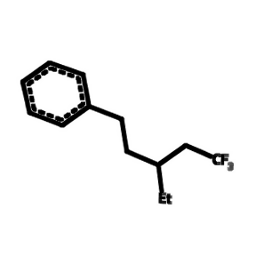 CCC(CCc1ccccc1)CC(F)(F)F